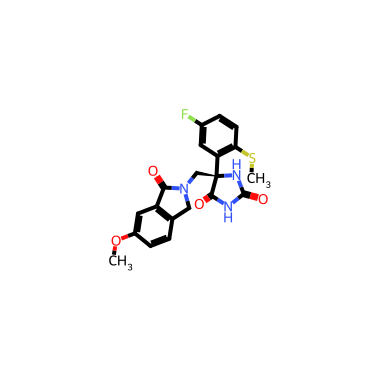 COc1ccc2c(c1)C(=O)N(C[C@@]1(c3cc(F)ccc3SC)NC(=O)NC1=O)C2